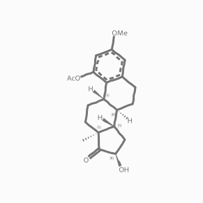 COc1cc2c(c(OC(C)=O)c1)[C@H]1CC[C@]3(C)C(=O)[C@H](O)C[C@H]3[C@@H]1CC2